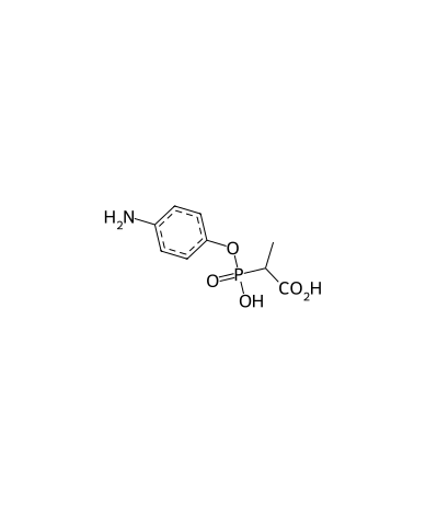 CC(C(=O)O)P(=O)(O)Oc1ccc(N)cc1